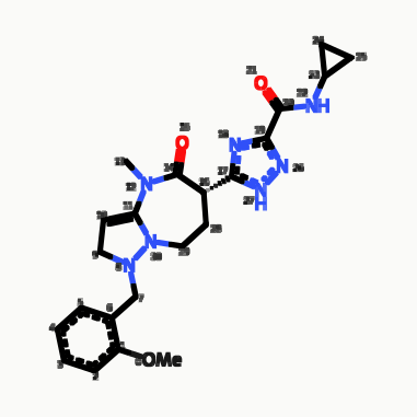 COc1ccccc1CN1CC=C2N(C)C(=O)[C@H](c3nc(C(=O)NC4CC4)n[nH]3)CCN21